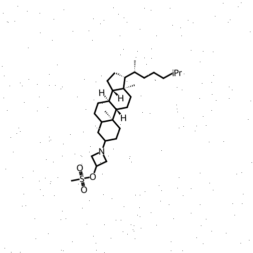 CC(C)CCC[C@@H](C)[C@H]1CC[C@H]2[C@@H]3CCC4CC(N5CC(OS(C)(=O)=O)C5)CC[C@]4(C)[C@H]3CC[C@]12C